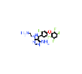 NCCn1nc(-c2ccc(Oc3c(F)c(F)cc(F)c3F)cc2F)c2c(N)ncnc21